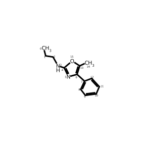 CCCNc1nc(-c2ccccc2)c(C)o1